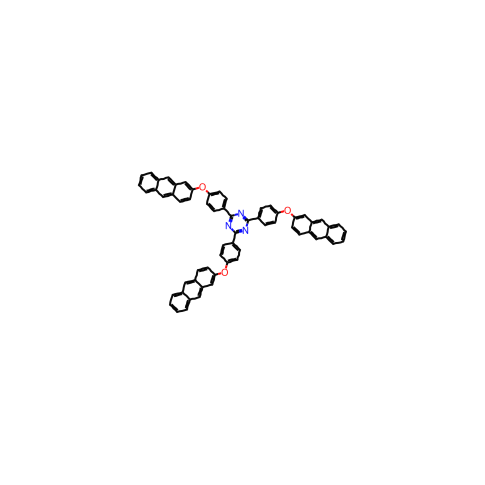 c1ccc2cc3cc(Oc4ccc(-c5nc(-c6ccc(Oc7ccc8cc9ccccc9cc8c7)cc6)nc(-c6ccc(Oc7ccc8cc9ccccc9cc8c7)cc6)n5)cc4)ccc3cc2c1